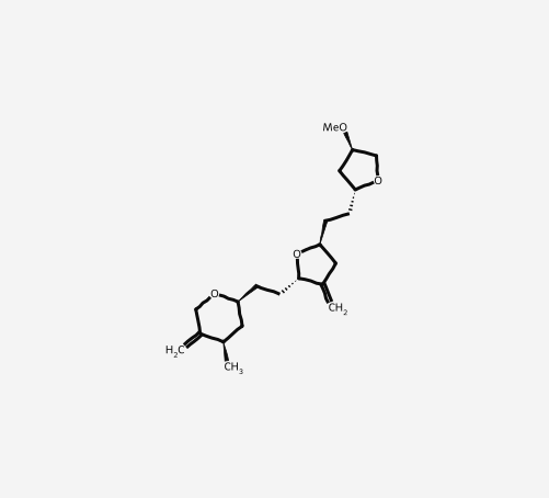 C=C1CO[C@@H](CC[C@@H]2O[C@@H](CC[C@@H]3C[C@@H](OC)CO3)CC2=C)C[C@H]1C